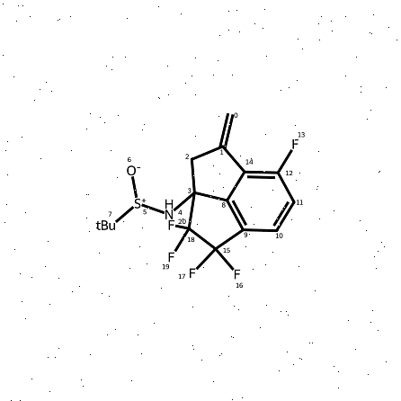 C=C1CC2(N[S+]([O-])C(C)(C)C)c3c(ccc(F)c31)C(F)(F)C2(F)F